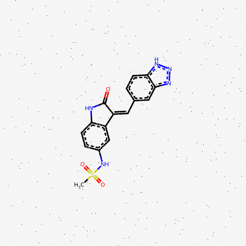 CS(=O)(=O)Nc1ccc2c(c1)C(=Cc1ccc3[nH]nnc3c1)C(=O)N2